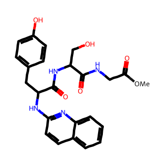 COC(=O)CNC(=O)C(CO)NC(=O)C(Cc1ccc(O)cc1)Nc1ccc2ccccc2n1